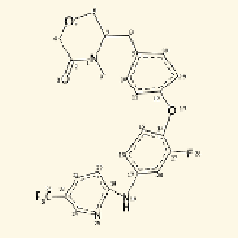 CN1C(=O)COCC1Cc1ccc(Oc2ccc(Nc3ccc(C(F)(F)F)cn3)cc2F)cc1